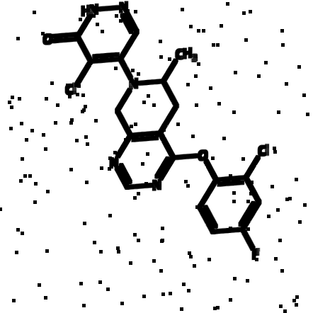 CC1Cc2c(ncnc2Oc2ccc(F)cc2Cl)CN1c1cn[nH]c(=O)c1Cl